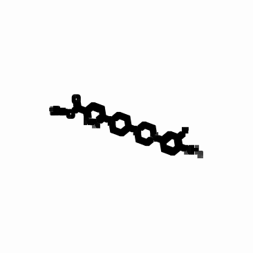 CC(C)(C)OC(=O)c1ccc(N2CCC(N3CCN(c4ccc(N)c(F)c4)CC3)CC2)nn1